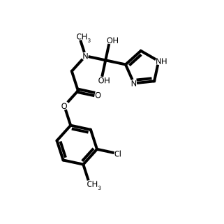 Cc1ccc(OC(=O)CN(C)C(O)(O)c2c[nH]cn2)cc1Cl